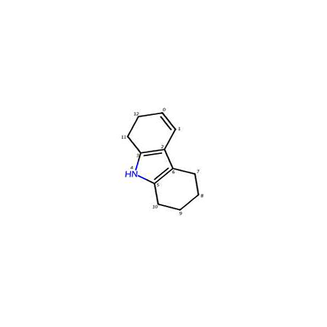 C1=Cc2c([nH]c3c2CCCC3)CC1